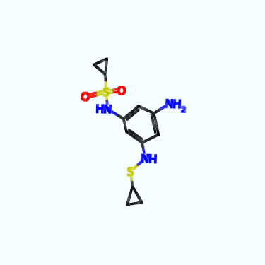 Nc1cc(NSC2CC2)cc(NS(=O)(=O)C2CC2)c1